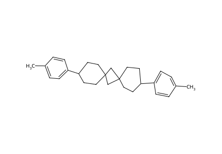 Cc1ccc(C2CCC3(CC2)CC2(CCC(c4ccc(C)cc4)CC2)C3)cc1